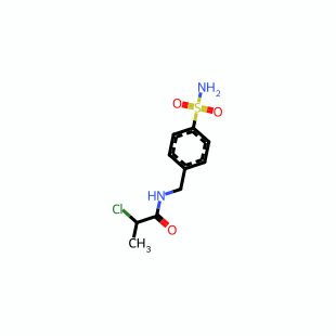 CC(Cl)C(=O)NCc1ccc(S(N)(=O)=O)cc1